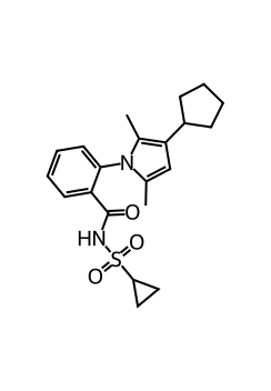 Cc1cc(C2CCCC2)c(C)n1-c1ccccc1C(=O)NS(=O)(=O)C1CC1